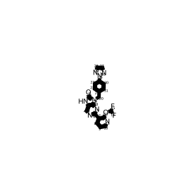 O=c1[nH]c2cnc(-c3cccnc3OC(F)F)nc2n1Cc1ccc(-n2nccn2)cc1